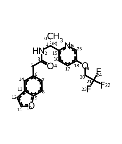 C[C@@H](NC(=O)Cc1ccc2occc2c1)c1ccc(OCC(F)(F)F)cn1